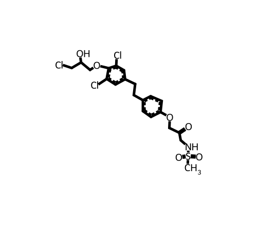 CS(=O)(=O)NCC(=O)COc1ccc(CCc2cc(Cl)c(OCC(O)CCl)c(Cl)c2)cc1